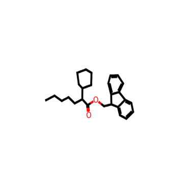 CCCCCC(C(=O)OCC1c2ccccc2-c2ccccc21)C1CCCCC1